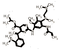 C=CC(=O)Nc1cc(Nc2ncc(C(=O)OC(C)C)c(C(=C)c3ccccc3N(C)C)n2)c(OC)c(C)c1N(C)CCN(C)C